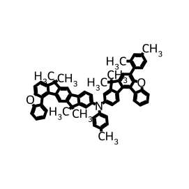 Cc1ccc(N(c2ccc3c(c2)C(C)(C)c2cc4c(cc2-3)C(C)(C)c2ccc3oc5ccccc5c3c2-4)c2ccc3c(c2)C(C)(C)c2cc(-c4ccc(C)cc4C)c4oc5ccccc5c4c2-3)cc1